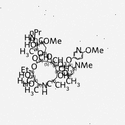 CCCNC[C@]1(O)[C@H](C)O[C@@H](O[C@H]2[C@H](C)[C@@H](O[C@@H]3O[C@H](C)C[C@H](NC)[C@H]3Oc3ccc(OC)nc3)[C@](C)(O)C[C@@H](C)CN[C@H](C)[C@@H](O)[C@](C)(O)[C@@H](CC)OC(=O)[C@@H]2C)C[C@@]1(C)OC